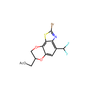 CC(=O)OCC1COc2c(cc(C(F)F)c3nc(Br)sc23)O1